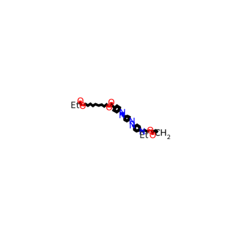 C=CC(=O)OCCN(CC)c1ccc(N=Nc2ccc(N=Nc3ccc(C(=O)OCCCCCCCCCOC(=O)CC)cc3)cc2)cc1